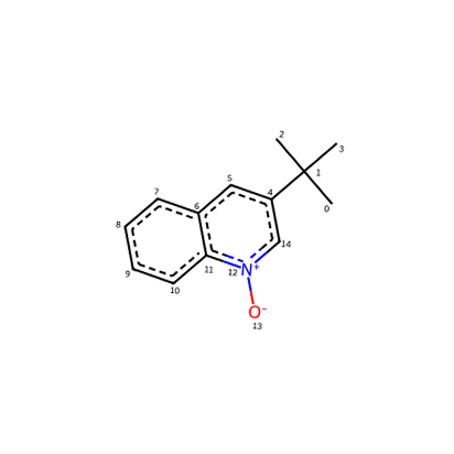 CC(C)(C)c1cc2ccccc2[n+]([O-])c1